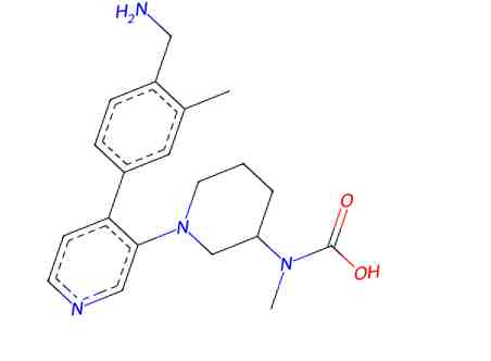 Cc1cc(-c2ccncc2N2CCCC(N(C)C(=O)O)C2)ccc1CN